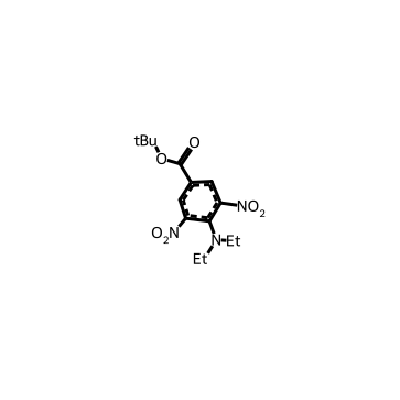 CCN(CC)c1c([N+](=O)[O-])cc(C(=O)OC(C)(C)C)cc1[N+](=O)[O-]